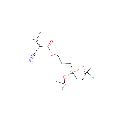 CC(C)=C(C#N)C(=O)OCCC[Si](C)(O[Si](C)(C)C)O[Si](C)(C)C